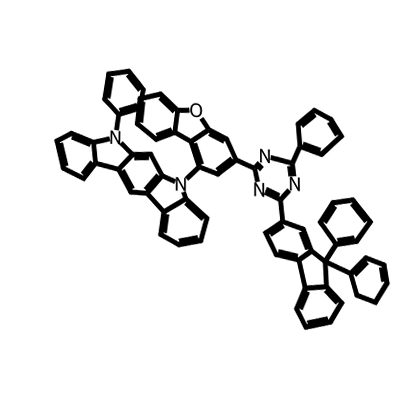 C1=CCCC(C2(c3ccccc3)c3ccccc3-c3ccc(-c4nc(-c5ccccc5)nc(-c5cc(-n6c7ccccc7c7cc8c9ccccc9n(-c9ccccc9)c8cc76)c6c(c5)oc5ccccc56)n4)cc32)=C1